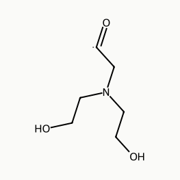 O=[C]CN(CCO)CCO